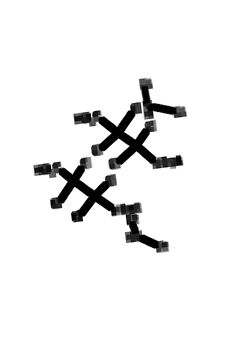 CCCCCCCC(Cl)(Cl)C(Cl)(Cl)C(=O)O.CCCCCCCC(Cl)(Cl)C(Cl)(Cl)C(=O)O.CCNCC.CCNCC